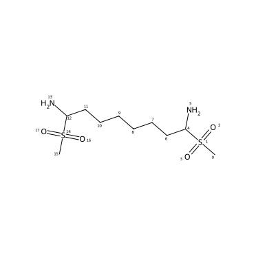 CS(=O)(=O)C(N)CCCCCCC(N)S(C)(=O)=O